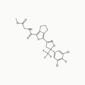 COC(=O)CNC(=O)c1sc(C2=NOC(c3cc(Cl)c(F)c(Cl)c3)(C(F)(F)F)C2)c2c1CCC2